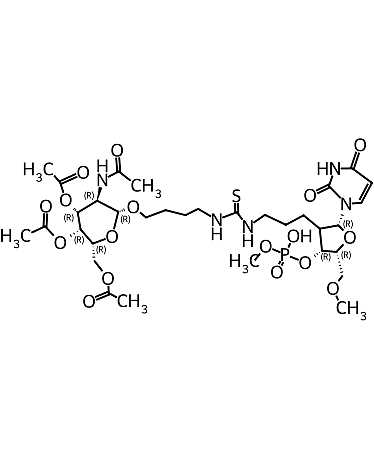 COC[C@H]1O[C@@H](n2ccc(=O)[nH]c2=O)C(CCCNC(=S)NCCCCO[C@@H]2O[C@H](COC(C)=O)[C@H](OC(C)=O)[C@H](OC(C)=O)[C@H]2NC(C)=O)[C@H]1OP(=O)(O)OC